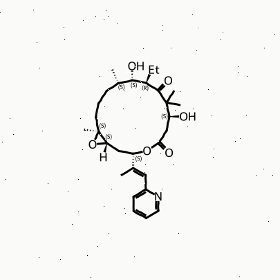 CC[C@H]1C(=O)C(C)(C)[C@@H](O)CC(=O)O[C@H](C(C)=Cc2ccccn2)C[C@@H]2O[C@@]2(C)CCC[C@H](C)[C@@H]1O